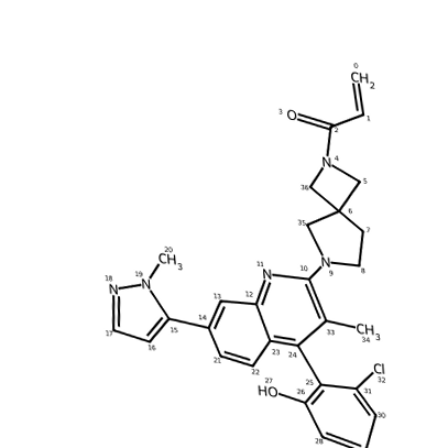 C=CC(=O)N1CC2(CCN(c3nc4cc(-c5ccnn5C)ccc4c(-c4c(O)cccc4Cl)c3C)C2)C1